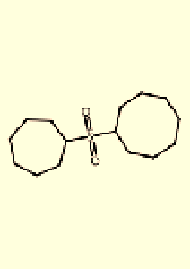 O=S(=O)(C1CCCCCCC1)C1CCCCCC1